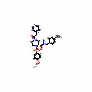 CC(C)(C)c1ccc(CNC(=O)[C@H]2CN(C(=O)Cc3ccncc3)CCN2S(=O)(=O)c2ccc(OC(F)(F)F)cc2)cc1